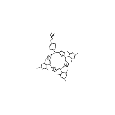 CC(=O)SCc1ccc(C2=C3C=CC(=N3)C(c3c(C)cc(C)cc3C)=C3C=CC(=N3)C(c3c(C)cc(C)cc3C)=C3C=CC(=N3)C(c3c(C)cc(C)cc3C)=C3C=CC2=N3)cc1